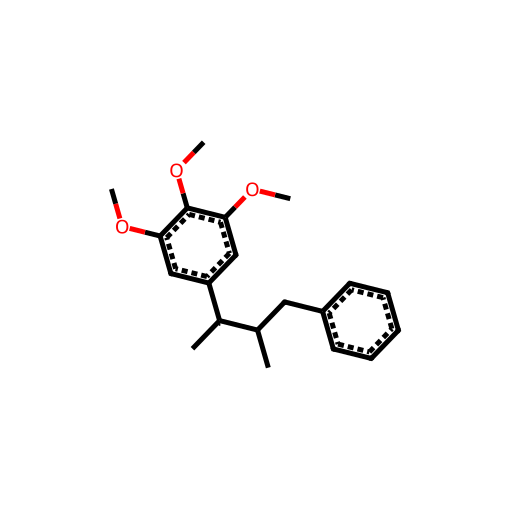 COc1cc([C](C)C(C)Cc2ccccc2)cc(OC)c1OC